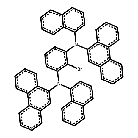 Brc1c(N(c2cccc3ccccc23)c2cc3ccccc3c3ccccc23)cccc1N(c1cccc2ccccc12)c1cc2ccccc2c2ccccc12